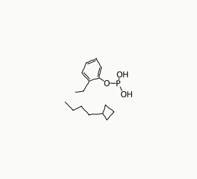 CCCCC1CCC1.CCc1ccccc1OP(O)O